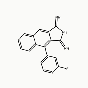 N=C1NC(=N)c2c1cc1ccccc1c2-c1cccc(F)c1